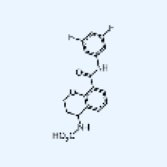 O=C(O)NC1CCOc2c(C(=O)Nc3cc(F)cc(F)c3)cccc21